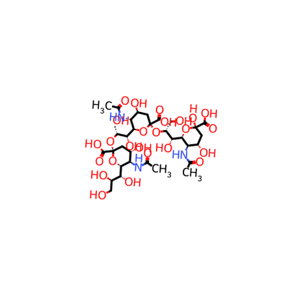 CC(=O)N[C@H]1[C@H]([C@H](O)[C@H](O)CO)O[C@@](O[C@H](CO)[C@@H](O)[C@@H]2O[C@@](O[C@H](CO)[C@@H](O)[C@@H]3O[C@](O)(C(=O)O)C[C@H](O)[C@H]3NC(C)=O)(C(=O)O)C[C@H](O)[C@H]2NC(C)=O)(C(=O)O)C[C@@H]1O